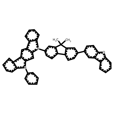 CC1(C)c2cc(-c3ccc4oc5ccccc5c4c3)ccc2-c2ccc(-n3c4ccccc4c4cc5c6ccccc6n(-c6ccccc6)c5cc43)cc21